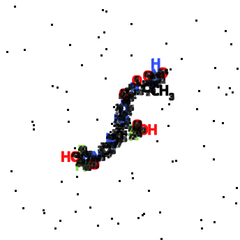 Cc1ccc(C(=O)N2CCC3(CC2)C[C@@H](N2CCN(c4ncc(-c5ccc6cn(C7CCC(CNC(=O)c8cc(F)c(O)c(F)c8F)CC7)nc6c5)cn4)CC2)CO3)cc1N1CCC(=O)NC1=O.O=C(O)C(F)(F)F